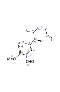 C=C/C=C\C(C)[C@@H](C)C(C)/N=C(/C=O)C(=N)OC